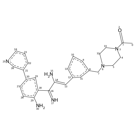 CC(=O)N1CCN(Cc2cccc(/C=C(\N)C(=N)c3cc(-c4cccnc4)ccc3N)c2)CC1